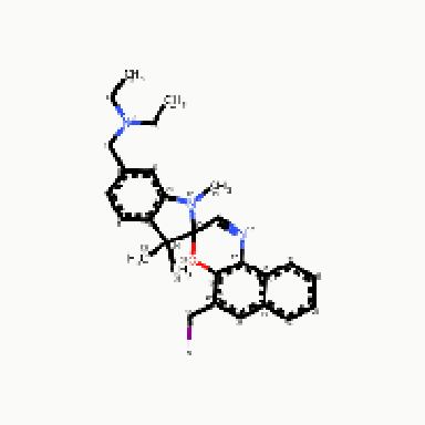 CCN(CC)Cc1ccc2c(c1)N(C)C1(C=Nc3c(c(CI)cc4ccccc34)O1)C2(C)C